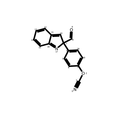 N#COc1ccc(C2(C=O)C=c3ccccc3=N2)cc1